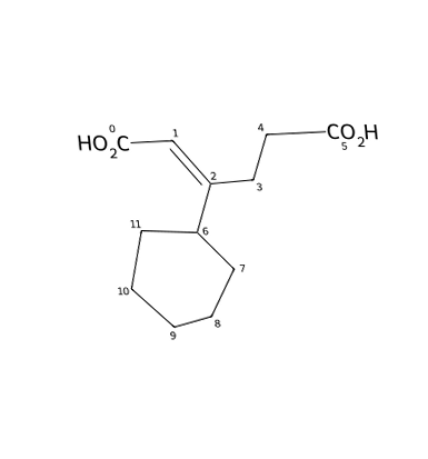 O=C(O)/C=C(/CCC(=O)O)C1CCCCC1